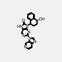 O=c1[nH]c2cnc(-n3cnc4ccncc43)nc2n1C1CC[C@@H](O)c2ccccc21